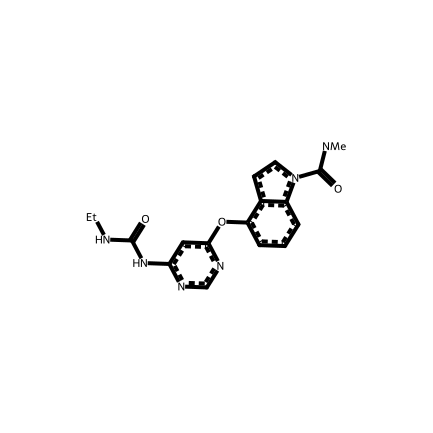 CCNC(=O)Nc1cc(Oc2cccc3c2ccn3C(=O)NC)ncn1